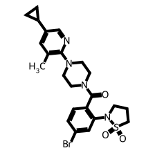 Cc1cc(C2CC2)cnc1N1CCN(C(=O)c2ccc(Br)cc2N2CCCS2(=O)=O)CC1